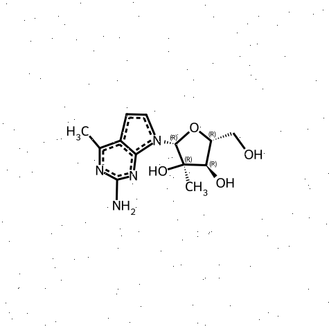 Cc1nc(N)nc2c1ccn2[C@@H]1O[C@H](CO)[C@@H](O)[C@@]1(C)O